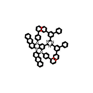 c1ccc(-c2ccc(N3c4cc(-c5nc(-c6cc(-c7ccccc7)cc(-c7ccccc7)c6)nc(-c6cc(-c7ccccc7)cc(-c7ccccc7)c6)n5)cc5c4B(c4ccc6cc7ccccc7cc6c43)c3ccc4cc6ccccc6cc4c3N5c3ccc(-c4ccccc4)cc3)cc2)cc1